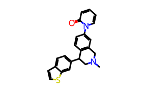 CN1Cc2cc(-n3ccccc3=O)ccc2C(c2ccc3ccsc3c2)C1